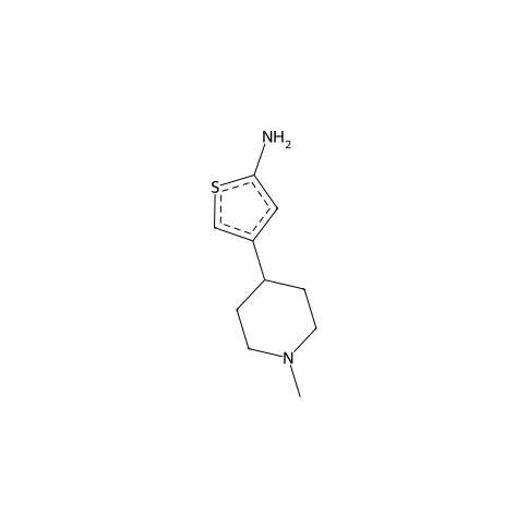 CN1CCC(c2csc(N)c2)CC1